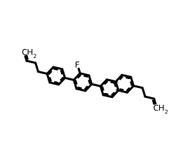 C=CCCc1ccc(-c2ccc(-c3ccc4cc(CCC=C)ccc4c3)cc2F)cc1